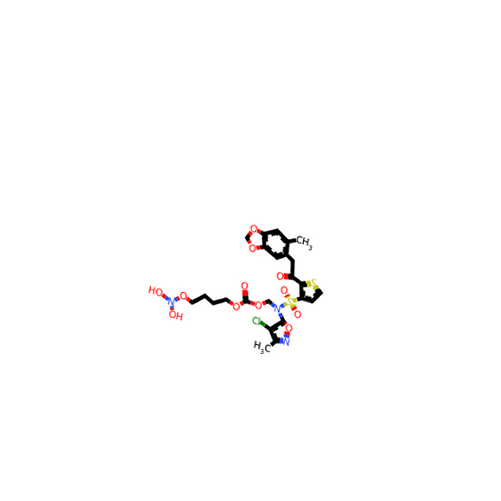 Cc1cc2c(cc1CC(=O)c1sccc1S(=O)(=O)N(COC(=O)OCCCCON(O)O)c1onc(C)c1Cl)OCO2